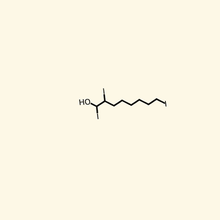 OC(I)C(I)CCCCCCI